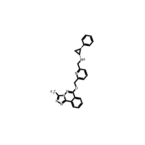 FC(F)(F)c1nnc2c3ccccc3c(OCc3cccc(CN[C@@H]4C[C@H]4c4ccccc4)n3)nn12